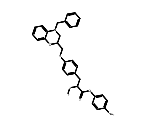 CCOC(Cc1ccc(OCC2CN(Cc3ccccc3)c3ccccc3O2)cc1)C(=O)Oc1ccc([N+](=O)[O-])cc1